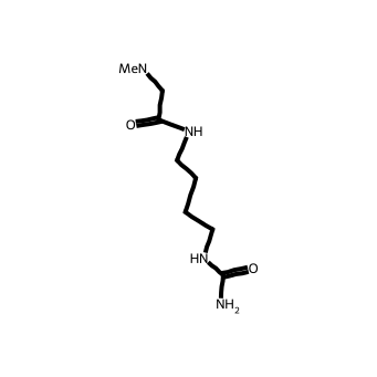 CNCC(=O)NCCCCNC(N)=O